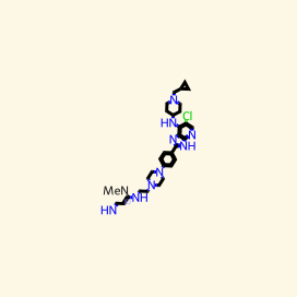 CN/C(=C\C=N)NCCN1CCN(c2ccc(-c3nc4c(NC5CCN(CC6CC6)CC5)c(Cl)cnc4[nH]3)cc2)CC1